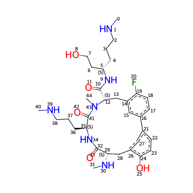 CNCCC[C@@H](CCO)NC(=O)[C@@H]1Cc2cc(ccc2F)-c2ccc(O)c(c2)C[C@H](NC)C(=O)N[C@@H](CCCNC)C(=O)N1C